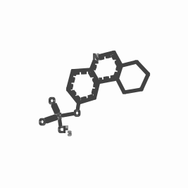 O=S(=O)(Oc1ccc2ncc3c(c2c1)CCCC3)C(F)(F)F